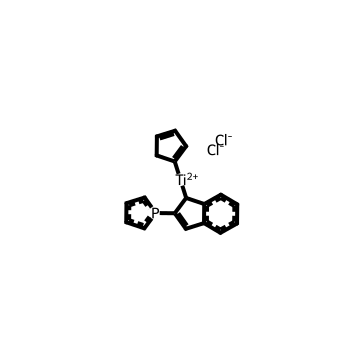 C1=CC[C]([Ti+2][CH]2C(p3cccc3)=Cc3ccccc32)=C1.[Cl-].[Cl-]